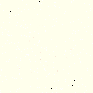 C=C(CCCc1cccc(F)c1)/C(=C\C=C(/C)c1ccccc1)C(O)CCC(CCC)CCCC(C)=O